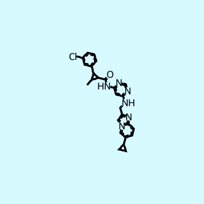 CC1C(C(=O)Nc2cc(NCc3cn4cc(C5CC5)ccc4n3)ncn2)C1c1cccc(Cl)c1